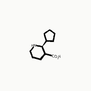 O=C(O)C1CCCN[C@H]1C1CCCC1